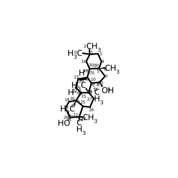 CC1(C)CC[C@]2(C)C[C@@H](O)[C@]3(C)C(=CC[C@@H]4[C@@]5(C)CC[C@@H](O)C(C)(C)C5CC[C@]43C)[C@H]2C1